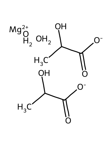 CC(O)C(=O)[O-].CC(O)C(=O)[O-].O.O.[Mg+2]